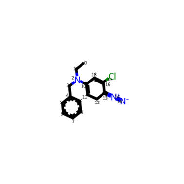 CCN(Cc1ccccc1)C1=CCC(=[N+]=[N-])C(Cl)=C1